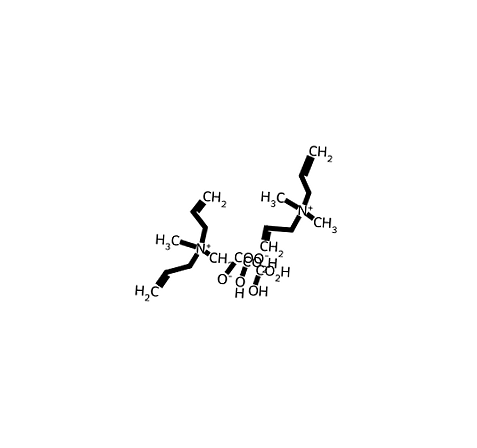 C=CC[N+](C)(C)CC=C.C=CC[N+](C)(C)CC=C.O=C(O)O.O=C(O)O.O=C([O-])[O-]